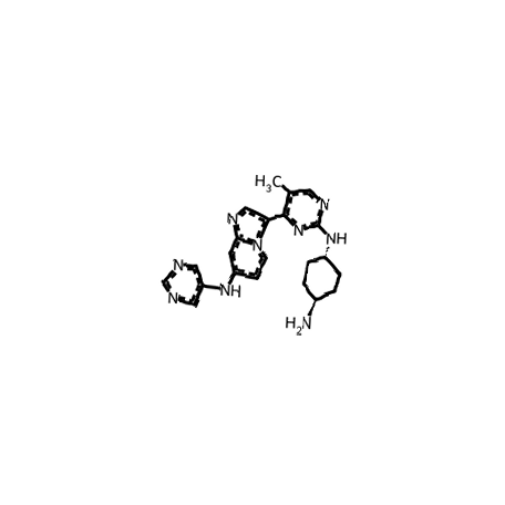 Cc1cnc(N[C@H]2CC[C@H](N)CC2)nc1-c1cnc2cc(Nc3cncnc3)ccn12